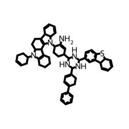 NC1=CC(C2NC(C3=CC=C(c4ccccc4)CC3)NC(c3ccc4c(c3)C3C=CC=CC3S4)N2)CCC1N1C2=C(CCC3C2C2=C(CCCC2)N3C2CC=CCC2)C2C=CC=CC21